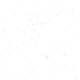 Sc1ncc(CCc2ccc3sc(S)nc3c2)o1